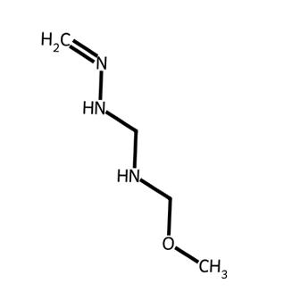 C=NNCNCOC